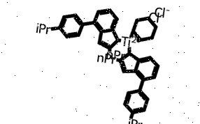 CCCC1=Cc2c(-c3ccc(C(C)C)cc3)cccc2[CH]1[Ti+2]1([CH]2C(CCC)=Cc3c(-c4ccc(C(C)C)cc4)cccc32)[CH]2CCCC[CH]21.[Cl-].[Cl-]